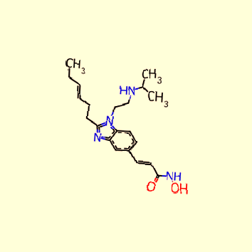 CC/C=C/CCc1nc2cc(/C=C/C(=O)NO)ccc2n1CCNC(C)C